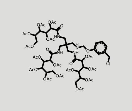 CC(=O)OCC(OC(C)=O)C(OC(C)=O)C(OC(C)=O)C(OC(C)=O)C(=O)NCC(CNCOc1cccc(CCl)c1)(CNC(=O)C(OC(C)=O)C(OC(C)=O)C(OC(C)=O)C(COC(C)=O)OC(C)=O)CNC(=O)C(OC(C)=O)C(OC(C)=O)C(OC(C)=O)C(COC(C)=O)OC(C)=O